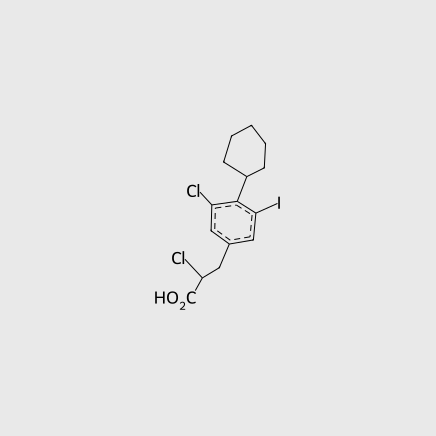 O=C(O)C(Cl)Cc1cc(Cl)c(C2CCCCC2)c(I)c1